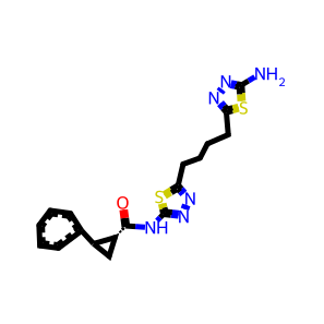 Nc1nnc(CCCCc2nnc(NC(=O)[C@@H]3CC3c3ccccc3)s2)s1